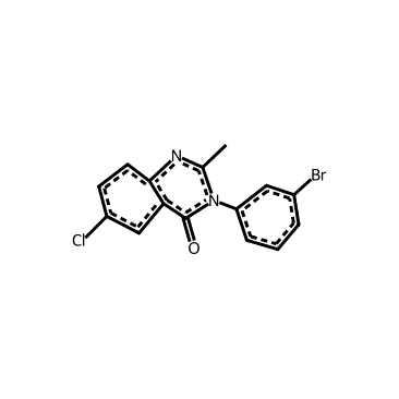 Cc1nc2ccc(Cl)cc2c(=O)n1-c1cccc(Br)c1